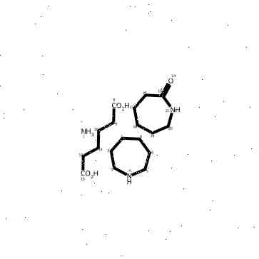 C1CCCNCC1.N.O=C(O)CCCCC(=O)O.O=C1CCCCCN1